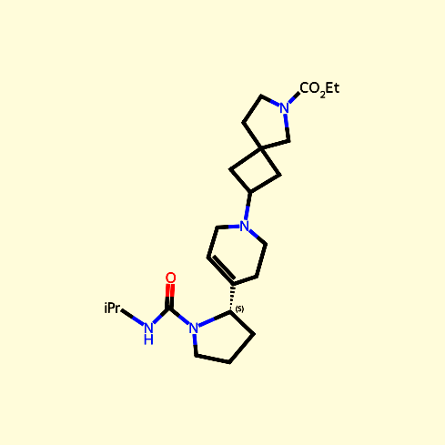 CCOC(=O)N1CCC2(CC(N3CC=C([C@@H]4CCCN4C(=O)NC(C)C)CC3)C2)C1